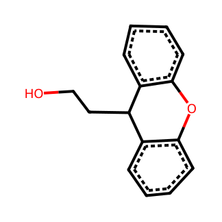 OCCC1c2ccccc2Oc2ccccc21